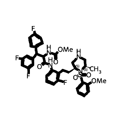 COC(=O)NC(C(=O)Nc1cccc(F)c1CC[C@H]1CNC[C@H](C)N1S(=O)(=O)c1ccccc1OC)C(c1ccc(F)cc1)c1cc(F)cc(F)c1